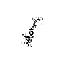 CC(C)c1cnn2c(NC3CCN(C(=O)OCC4(F)CN(C(=O)OC(C)(C)C)C4)CC3)cc(C(F)(F)F)nc12